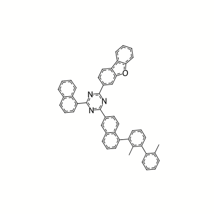 Cc1ccccc1-c1cccc(-c2cccc3cc(-c4nc(-c5ccc6c(c5)oc5ccccc56)nc(-c5cccc6ccccc56)n4)ccc23)c1C